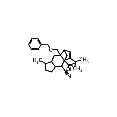 CC(C)C1=CC2CC3(C#N)C4CCC(C)C4CC2(COCc2ccccc2)C13C(=O)O